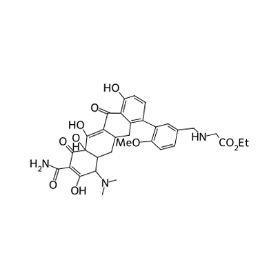 CCOC(=O)CNCc1ccc(OC)c(-c2ccc(O)c3c2CC2CC4C(N(C)C)C(O)=C(C(N)=O)C(=O)C4(O)C(O)=C2C3=O)c1